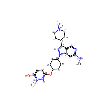 CCNc1cc2c(cn1)c(C1CCN(C)CC1)nn2C1CCC(Oc2ccc(=O)n(C)n2)CC1